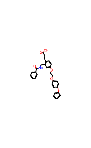 O=C(O)CCc1ccc(OCCOc2ccc(Oc3ccccc3)cc2)cc1CNC(=O)c1ccccc1